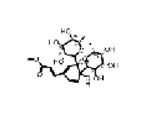 COC(=O)C=CC1=CC(O)(C2O[C@H](C)[C@H](O)[C@H](O)[C@H]2O)C(O)(C2O[C@H](C)[C@H](O)[C@H](O)[C@H]2O)C=C1